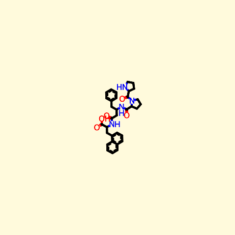 O=C(CC(Cc1ccccc1)NC(=O)C1CCCN1C(=O)C1CCCN1)NC(Cc1cccc2ccccc12)C(=O)O